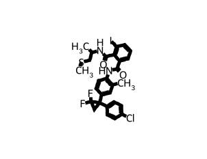 CSCC(C)NC(=O)c1c(I)cccc1C(=O)Nc1ccc(C2(c3ccc(Cl)cc3)CC2(F)F)cc1C